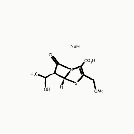 COCC1=C(C(=O)O)N2C(=O)[C@H](C(C)O)[C@H]2S1.[NaH]